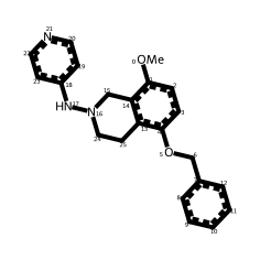 COc1ccc(OCc2ccccc2)c2c1CN(Nc1ccncc1)CC2